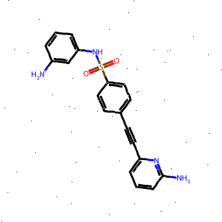 Nc1cccc(NS(=O)(=O)c2ccc(C#Cc3cccc(N)n3)cc2)c1